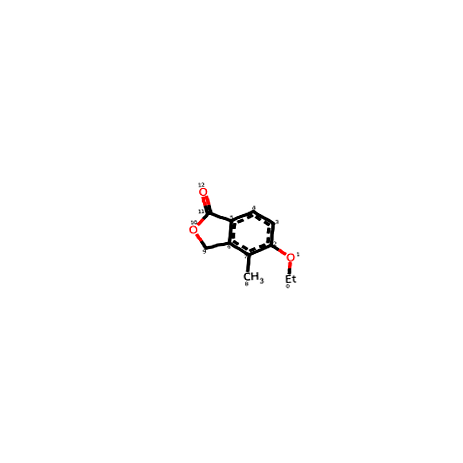 CCOc1ccc2c(c1C)COC2=O